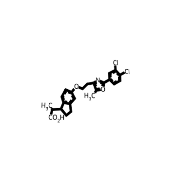 Cc1oc(-c2ccc(Cl)c(Cl)c2)nc1CCOc1ccc2c(c1)CCC2C(C)C(=O)O